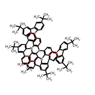 Cc1cccc(-c2cc(C(C)(C)C)cc(-c3ccccc3)c2N2c3cc(-n4c5ccc(C(C)(C)C)cc5c5cc(C(C)(C)C)ccc54)ccc3B3c4ccc(-n5c6ccc(C(C)(C)C)cc6c6cc(C(C)(C)C)ccc65)cc4N(c4c(-c5ccccc5)cc(C(C)(C)C)cc4-c4ccccc4)c4cc(C(C)C)cc2c43)c1